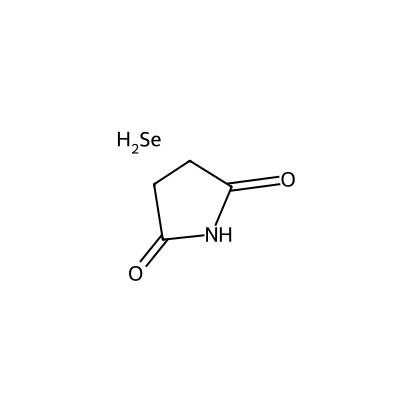 O=C1CCC(=O)N1.[SeH2]